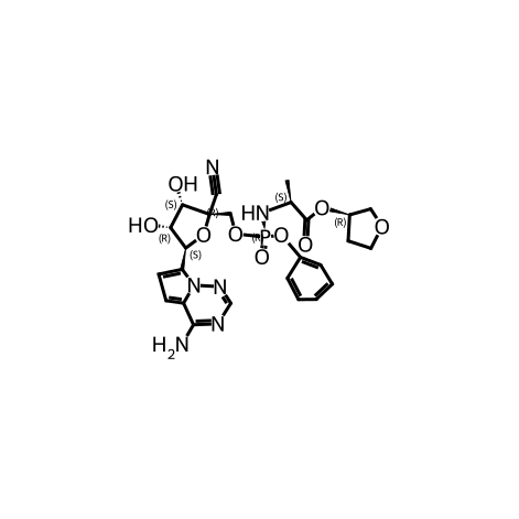 C[C@H](N[P@@](=O)(OC[C@@]1(C#N)O[C@@H](c2ccc3c(N)ncnn23)[C@H](O)[C@@H]1O)Oc1ccccc1)C(=O)O[C@@H]1CCOC1